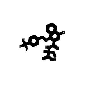 CCC(C)(NC(=O)c1cc(Cl)c2ccccc2c1OCc1ccc(C(F)(F)F)cc1)C(=O)O